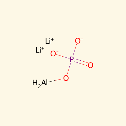 O=P([O-])([O-])[O][AlH2].[Li+].[Li+]